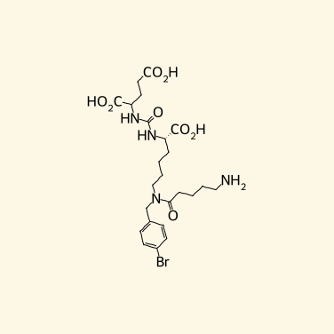 NCCCCC(=O)N(CCCC[C@H](NC(=O)NC(CCC(=O)O)C(=O)O)C(=O)O)Cc1ccc(Br)cc1